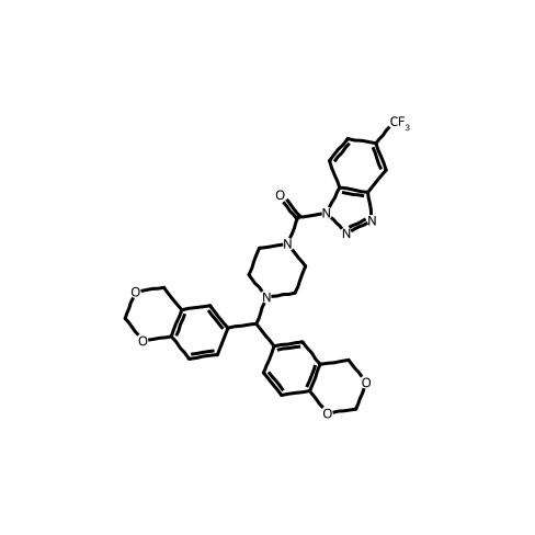 O=C(N1CCN(C(c2ccc3c(c2)COCO3)c2ccc3c(c2)COCO3)CC1)n1nnc2cc(C(F)(F)F)ccc21